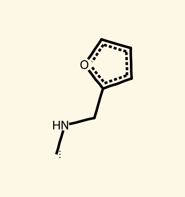 [C]NCc1ccco1